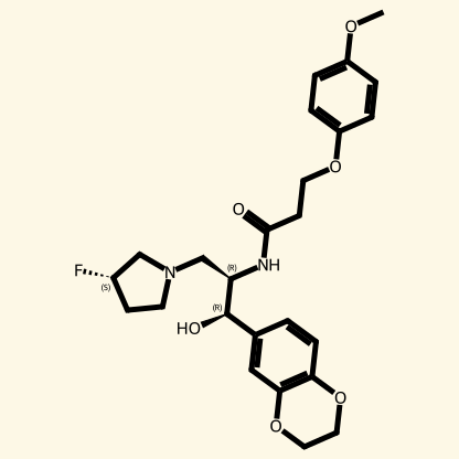 COc1ccc(OCCC(=O)N[C@H](CN2CC[C@H](F)C2)[C@H](O)c2ccc3c(c2)OCCO3)cc1